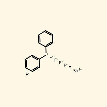 [F-].[F-].[F-].[F-].[F-].[F-].[Sb+5].c1ccc([I+]c2ccccc2)cc1